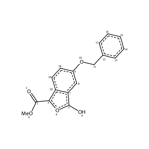 COC(=O)c1oc(O)c2cc(OCc3ccccc3)ccc12